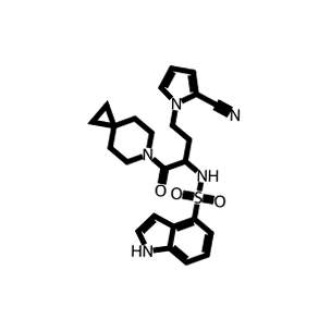 N#Cc1cccn1CCC(NS(=O)(=O)c1cccc2[nH]ccc12)C(=O)N1CCC2(CC1)CC2